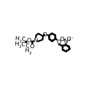 CC(C)(C)OC(=O)N1CCC(Oc2ccc(OCc3ccccc3[N+](=O)[O-])cc2)CC1